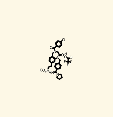 N=C(c1ccc(CN2C(=O)CN(C(=O)c3ccc(Cl)cc3)Cc3ccc(CCC(=O)O)cc32)cc1)N1CCCC1.O=C(O)C(F)(F)F